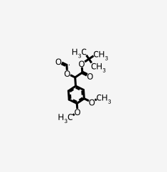 COc1ccc(C(O[C]=O)C(=O)OC(C)(C)C)cc1OC